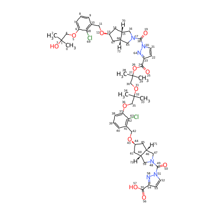 CC(C)(O)COc1cccc(CO[C@H]2C[C@@H]3CN(C(=O)n4ccc(C(=O)OC(C)(C)COC(C)(C)COc5cccc(CO[C@H]6C[C@@H]7CN(C(=O)n8ccc(C(=O)O)n8)C[C@@H]7C6)c5Cl)n4)C[C@@H]3C2)c1Cl